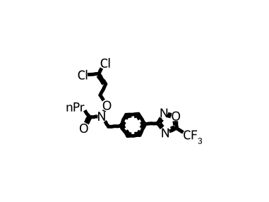 CCCC(=O)N(Cc1ccc(-c2noc(C(F)(F)F)n2)cc1)OCC=C(Cl)Cl